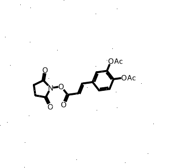 CC(=O)Oc1ccc(/C=C/C(=O)ON2C(=O)CCC2=O)cc1OC(C)=O